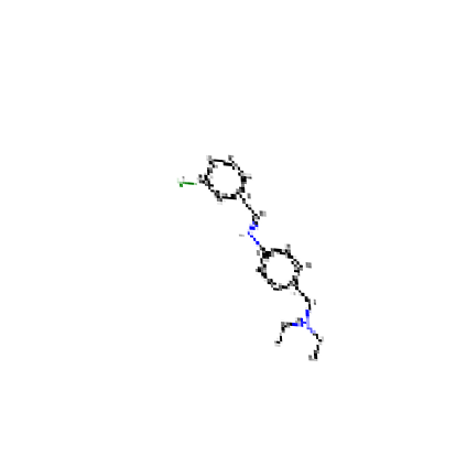 CCN(CC)Cc1ccc(N=Cc2cccc(Br)c2)cc1